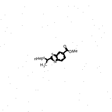 CCCCCCCC(C)c1nc2ccc(C(=O)OC)cc2s1